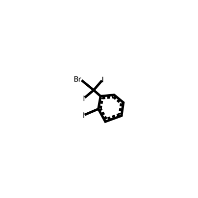 BrC(I)(I)c1ccccc1I